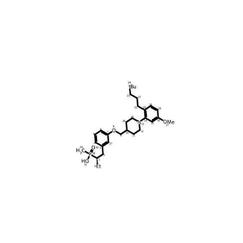 CC[C@H](Cc1cccc(OCC2CCN(c3cc(OC)ccc3CCCC(C)(C)C)CC2)c1)P(C)(=O)O